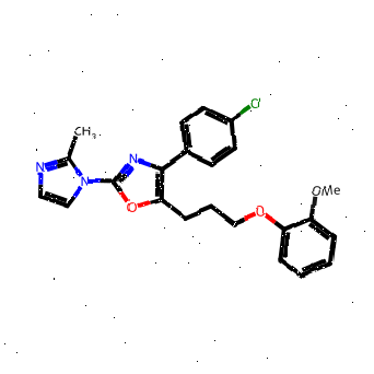 COc1ccccc1OCCCc1oc(-n2ccnc2C)nc1-c1ccc(Cl)cc1